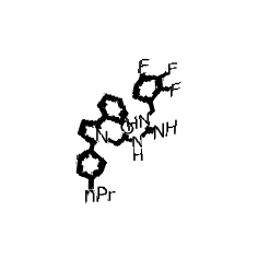 CCCc1ccc(-c2ccc(-c3ccccc3)n2CC(=O)NC(=N)NCc2ccc(F)c(F)c2F)cc1